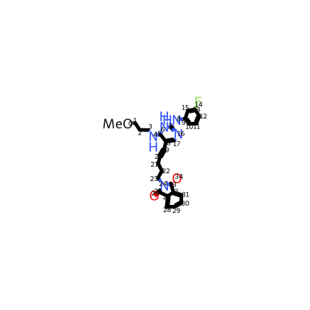 COCCCNC1NC(Nc2cccc(F)c2)=NC=C1C#CCCCN1C(=O)c2ccccc2C1=O